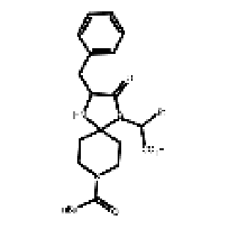 CCCCC(=O)N1CCC2(CC1)NC(Cc1ccccc1)C(=O)N2C(CC)C(=O)O